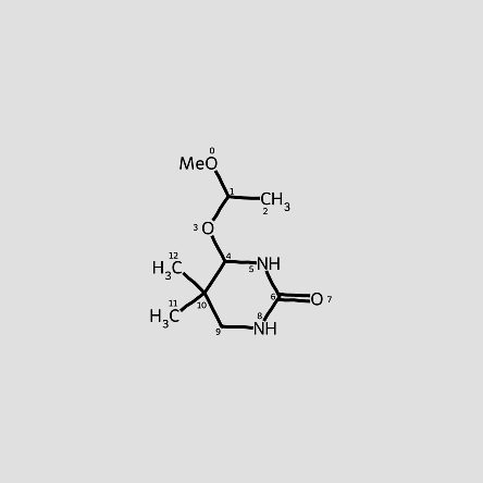 COC(C)OC1NC(=O)NCC1(C)C